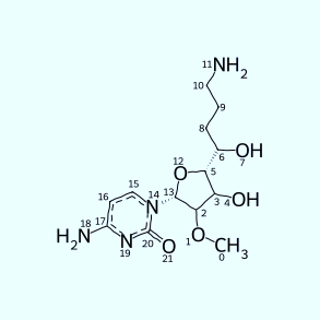 COC1C(O)[C@@H](C(O)CCCN)O[C@H]1n1ccc(N)nc1=O